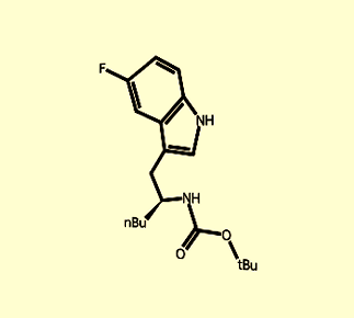 CCCC[C@@H](Cc1c[nH]c2ccc(F)cc12)NC(=O)OC(C)(C)C